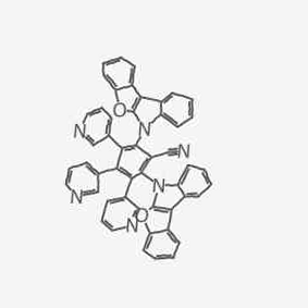 N#Cc1c(-n2c3ccccc3c3c4ccccc4oc32)c(-c2cccnc2)c(-c2cccnc2)c(-c2cccnc2)c1-n1c2ccccc2c2c3ccccc3oc21